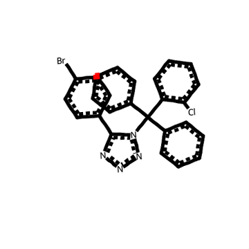 Clc1ccccc1C(c1ccccc1)(c1ccccc1)n1nnnc1-c1ccc(Br)cc1